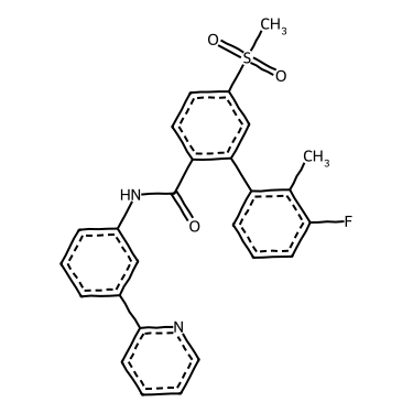 Cc1c(F)cccc1-c1cc(S(C)(=O)=O)ccc1C(=O)Nc1cccc(-c2ccccn2)c1